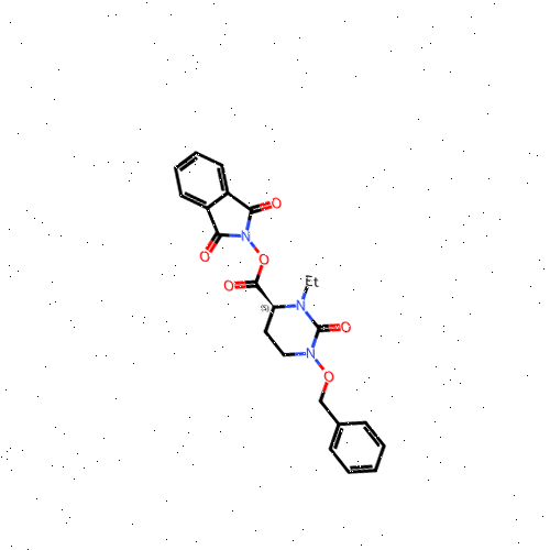 CCN1C(=O)N(OCc2ccccc2)CC[C@H]1C(=O)ON1C(=O)c2ccccc2C1=O